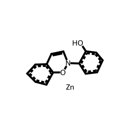 Oc1ccccc1N1C=Cc2ccccc2O1.[Zn]